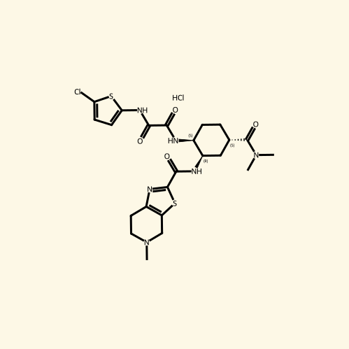 CN1CCc2nc(C(=O)N[C@@H]3C[C@@H](C(=O)N(C)C)CC[C@@H]3NC(=O)C(=O)Nc3ccc(Cl)s3)sc2C1.Cl